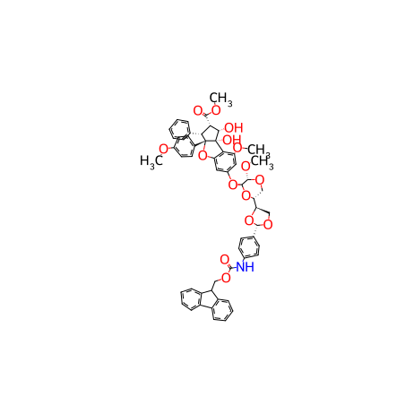 COC(=O)[C@H]1[C@@H](c2ccccc2)[C@@]2(c3ccc(OC)cc3)Oc3cc(O[C@@H]4O[C@@H]([C@H]5CO[C@H](c6ccc(NC(=O)OCC7c8ccccc8-c8ccccc87)cc6)O5)CO[C@H]4OC)cc(OC)c3[C@]2(O)[C@H]1O